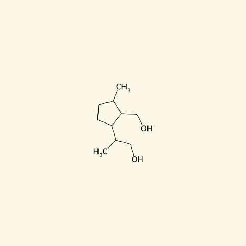 CC1CCC(C(C)CO)C1CO